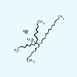 Br.CCCCCCCCCCCCC(CCCCCCC)C(P)(CCCCCCC)CCCCCCC